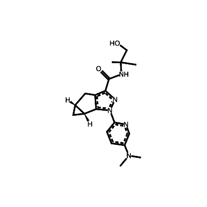 CN(C)c1ccc(-n2nc(C(=O)NC(C)(C)CO)c3c2[C@@H]2C[C@@H]2C3)nc1